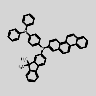 CC1(C)c2ccccc2-c2ccc(N(c3ccc(N(c4ccccc4)c4ccccc4)cc3)c3ccc4c(ccc5c6ccccc6ccc45)c3)cc21